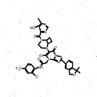 CCc1c(N2CCN(C(=O)c3ncnc(C)c3O)C3CCC32)c(=O)n2nc(-c3ccc4c(c3)COC4(C)C)nc2n1CC(=O)Nc1ccc(C(F)(F)F)cc1Cl